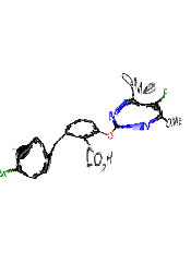 COc1nc(Oc2cccc(-c3ccc(Br)cc3)c2C(=O)O)nc(OC)c1F